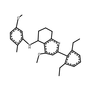 CCc1cccc(CC)c1-c1cc(OC)c2c(n1)CCCC2Nc1cc(OC)ccc1C